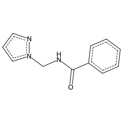 O=C(NCn1cccn1)c1ccccc1